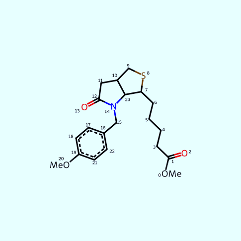 COC(=O)CCCCC1SCC2CC(=O)N(Cc3ccc(OC)cc3)C21